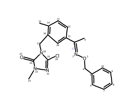 C/C(=N\OCc1ccccc1)c1ccc(C)c(Cn2c(Cl)nn(C)c2=O)c1